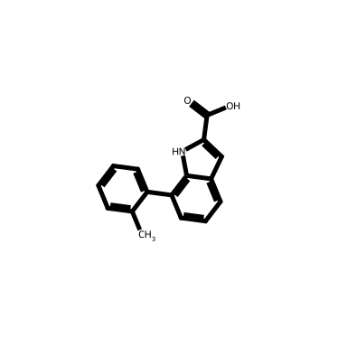 Cc1ccccc1-c1cccc2cc(C(=O)O)[nH]c12